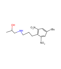 CC(O)CNCCCc1c([N+](=O)[O-])cc(C(C)(C)C)cc1[N+](=O)[O-]